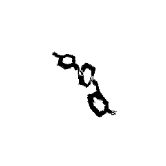 CC1CCC(N2CCN(Cc3cccc(Br)c3)CC2)CC1